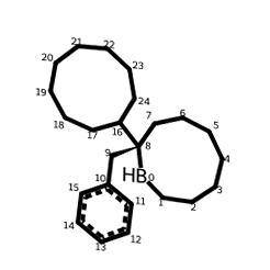 B1CCCCCCC[C@@]1(Cc1ccccc1)C1CCCCCCCC1